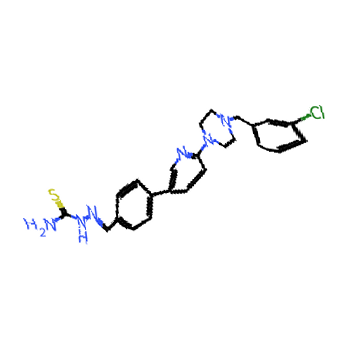 NC(=S)NN=Cc1ccc(-c2ccc(N3CCN(Cc4cccc(Cl)c4)CC3)nc2)cc1